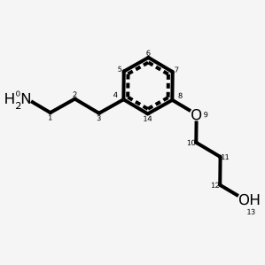 NCCCc1cccc(OCCCO)c1